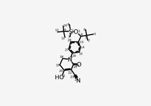 CC(C)(C)C(O[Si](C)(C)C(C)(C)C)c1ccc(N2CCC(O)=C(C#N)C2=O)cc1